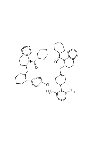 Cc1cccc(C)c1C1CCN(CC2CCc3ccccc3N2C(=O)C2CCCCC2)CC1.O=C(C1CCCCC1)N1c2ccccc2CCC1CN1CCCCC1c1ccc(Cl)cc1